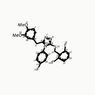 COc1ccc(Cc2nnc(SCc3c(F)cccc3F)n2-c2ccc(F)cc2)cc1OC